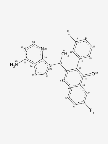 CC(c1oc2ccc(F)cc2c(=O)c1-c1cccc(F)c1)n1cnc2c(N)ncnc21